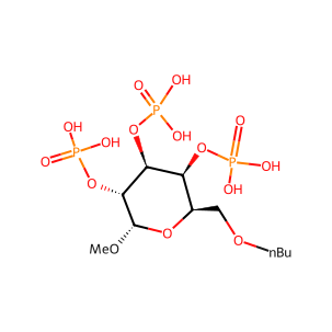 CCCCOC[C@H]1O[C@H](OC)[C@H](OP(=O)(O)O)[C@@H](OP(=O)(O)O)[C@H]1OP(=O)(O)O